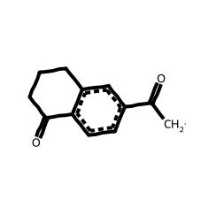 [CH2]C(=O)c1ccc2c(c1)CCCC2=O